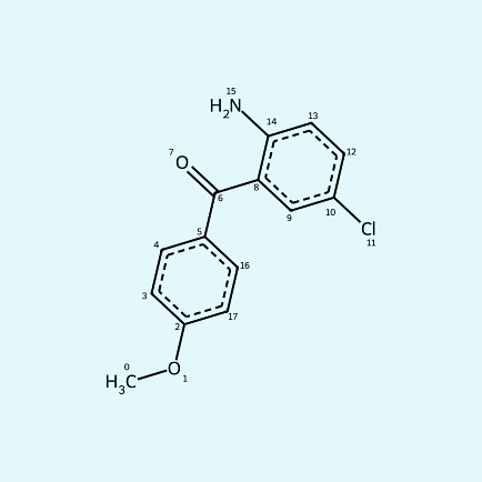 COc1ccc(C(=O)c2cc(Cl)ccc2N)cc1